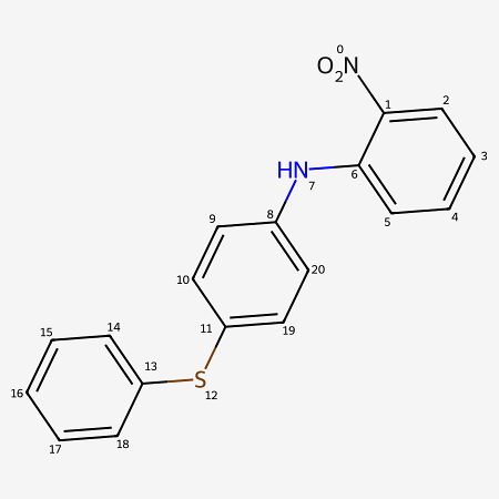 O=[N+]([O-])c1ccccc1Nc1ccc(Sc2ccccc2)cc1